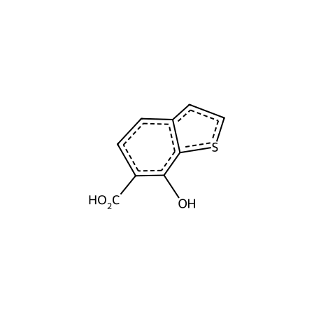 O=C(O)c1ccc2ccsc2c1O